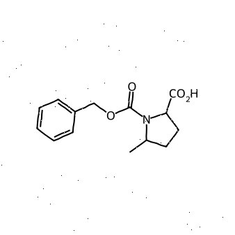 CC1CCC(C(=O)O)N1C(=O)OCc1ccccc1